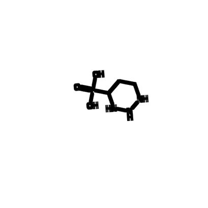 O=P(O)(O)C1CCNNN1